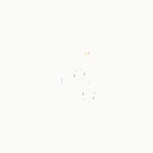 Nc1cc(C[SH](=O)=O)ccc1Sc1ccccc1F